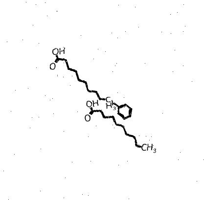 CCCCCCCCCC(=O)O.CCCCCCCCCC(=O)O.Ic1ccccc1